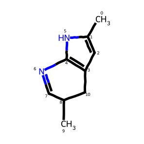 Cc1cc2c([nH]1)N=CC(C)C2